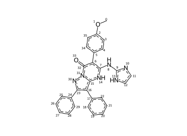 COc1ccc(-c2c(Nc3ncc[nH]3)[nH]c3c(-c4ccccc4)c(-c4ccccc4)nn3c2=O)cc1